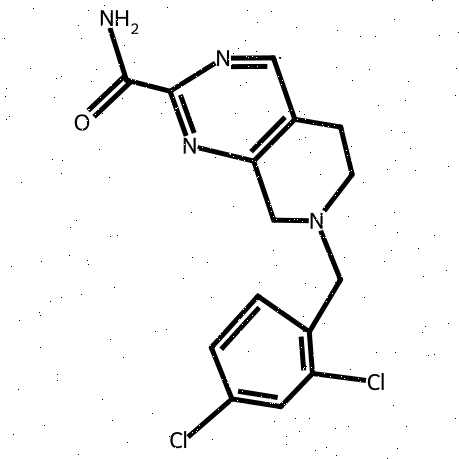 NC(=O)c1n[c]c2c(n1)CN(Cc1ccc(Cl)cc1Cl)CC2